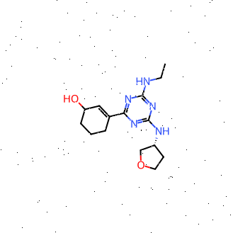 CCNc1nc(N[C@@H]2CCOC2)nc(C2=CC(O)CCC2)n1